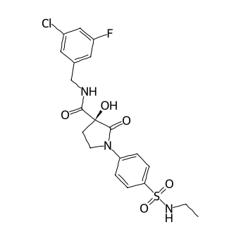 CCNS(=O)(=O)c1ccc(N2CC[C@](O)(C(=O)NCc3cc(F)cc(Cl)c3)C2=O)cc1